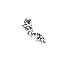 CC(NC(=O)c1cccc(NCc2nnc(-c3ccncn3)n2C)c1)c1ccccc1NS(C)(=O)=O